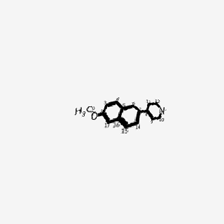 COc1ccc2cc(C3=CC[N]CC3)ccc2c1